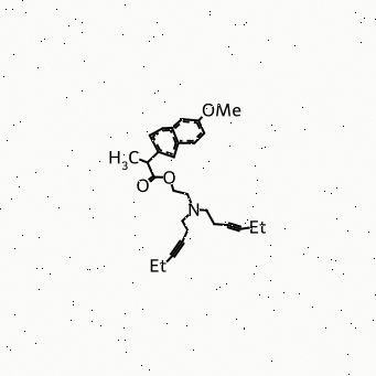 CCC#CCCN(CCC#CCC)CCOC(=O)C(C)c1ccc2cc(OC)ccc2c1